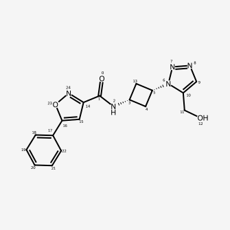 O=C(N[C@H]1C[C@@H](n2nncc2CO)C1)c1cc(-c2ccccc2)on1